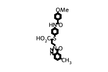 COc1ccc(C(=O)Nc2ccc(SC(CCn3nnc4ccc(C)cc4c3=O)C(=O)O)cc2)cc1